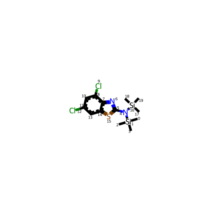 C[Si](C)(C)N(c1nc2c(Cl)cc(Cl)cc2s1)[Si](C)(C)C